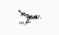 Cc1cc(C(=O)NCCCN(C)C)ccc1-c1ccc(C[C@H](NC(=O)[C@H]2CC[C@H](CNC(=O)O)CC2)C(=O)Nc2ccc3[nH]c(C(F)(F)C(F)(F)F)nc3c2)cc1